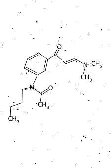 CCCCN(C(C)=O)c1cccc(C(=O)C=CN(C)C)c1